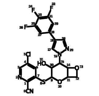 N#Cc1ncc(Cl)cc1SC1OC2COC2C(n2cc(-c3cc(F)c(F)c(F)c3)cn2)C1O